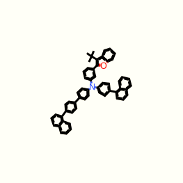 CC(C)(C)c1c(-c2cccc(N(c3ccc(-c4ccc(-c5cccc6ccccc56)cc4)cc3)c3ccc(-c4cccc5ccccc45)cc3)c2)oc2ccccc12